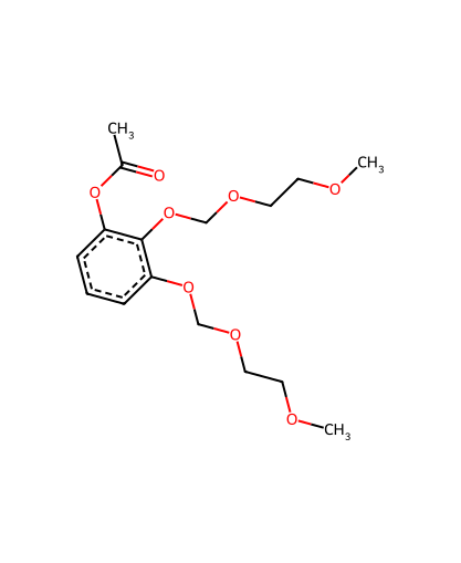 COCCOCOc1cccc(OC(C)=O)c1OCOCCOC